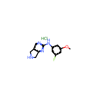 COc1cc(F)cc(Nc2ncc3c(n2)CNC3)c1.Cl